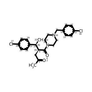 CC(=O)C[C@H](C(=O)N1CCN(Cc2ccc(Cl)cc2)CC1)[C@H](C)c1ccc(Cl)cc1